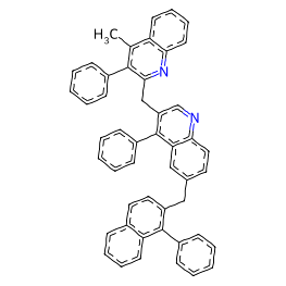 Cc1c(-c2ccccc2)c(Cc2cnc3ccc(Cc4ccc5ccccc5c4-c4ccccc4)cc3c2-c2ccccc2)nc2ccccc12